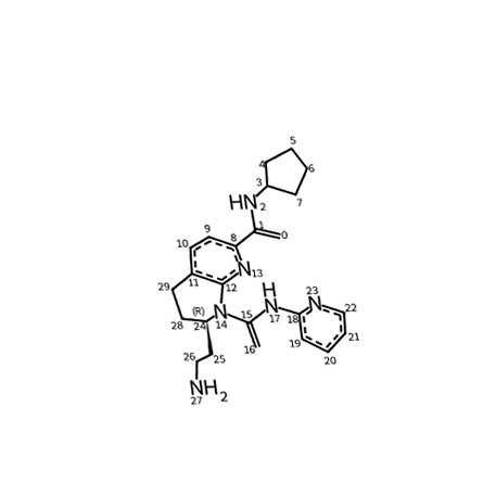 C=C(NC1CCCC1)c1ccc2c(n1)N(C(=C)Nc1ccccn1)[C@@H](CCN)CC2